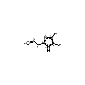 Cc1nc(CC=O)[nH]c1C